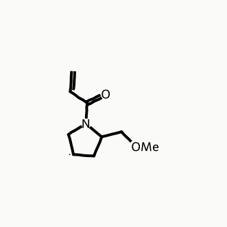 C=CC(=O)N1C[CH]CC1COC